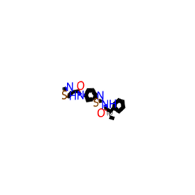 CC[C@H](C(=O)Nc1nc2ccc(NC(=O)c3cscn3)cc2s1)c1ccccc1